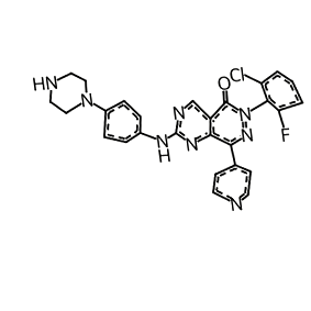 O=c1c2cnc(Nc3ccc(N4CCNCC4)cc3)nc2c(-c2ccncc2)nn1-c1c(F)cccc1Cl